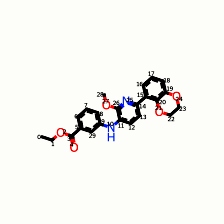 CCOC(=O)c1cccc(Nc2ccc(-c3cccc4c3OCCO4)nc2OC)c1